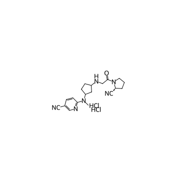 CN(c1ccc(C#N)cn1)C1CCC(NCC(=O)N2CCC[C@H]2C#N)C1.Cl.Cl